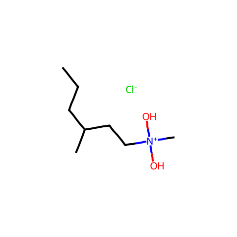 CCCC(C)CC[N+](C)(O)O.[Cl-]